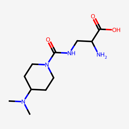 CN(C)C1CCN(C(=O)NCC(N)C(=O)O)CC1